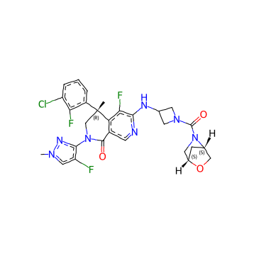 Cn1cc(F)c(N2C[C@](C)(c3cccc(Cl)c3F)c3c(cnc(NC4CN(C(=O)N5C[C@@H]6C[C@H]5CO6)C4)c3F)C2=O)n1